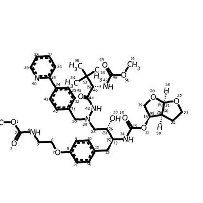 COC(=O)NCCOc1ccc(C[C@H](NC(=O)O[C@H]2CO[C@H]3OCC[C@H]32)[C@@H](O)CN(Cc2ccc(-c3ccccn3)cc2)NC(=O)[C@@H](NC(=O)OC)C(C)(C)C)cc1